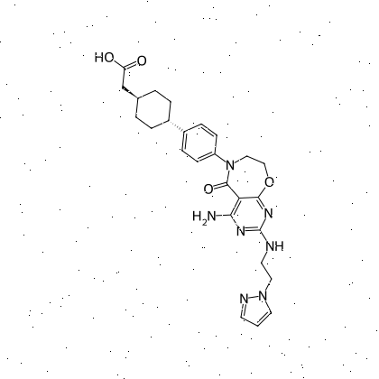 Nc1nc(NCCn2cccn2)nc2c1C(=O)N(c1ccc([C@H]3CC[C@H](CC(=O)O)CC3)cc1)CCO2